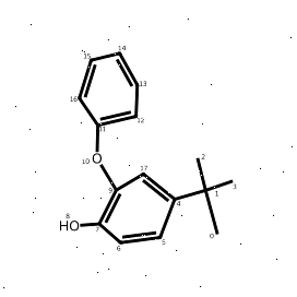 CC(C)(C)c1ccc(O)c(Oc2ccccc2)c1